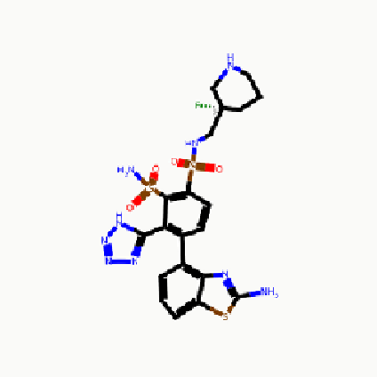 Nc1nc2c(-c3ccc(S(=O)(=O)NC[C@]4(F)CCCNC4)c(S(N)(=O)=O)c3-c3nnn[nH]3)cccc2s1